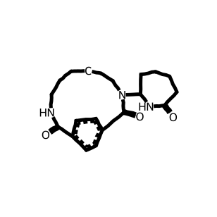 O=C1CCCCC(N2CCCCCCNC(=O)c3ccc(cc3)C2=O)N1